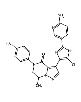 CC1CN(c2ccc(C(F)(F)F)cc2)C(=O)c2c(-c3nc(-c4ccc(N)nc4)[nH]c3Cl)cnn21